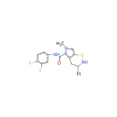 CCC1Cc2c(cn(C)c2C(=O)Nc2ccc(F)c(F)c2)SN1